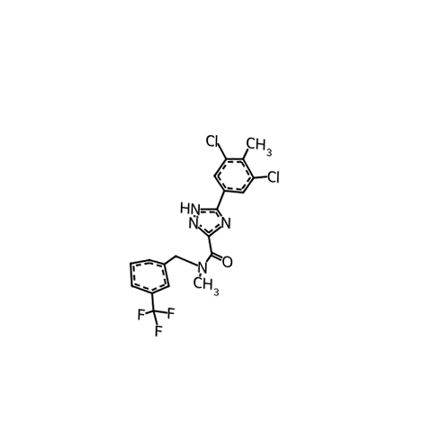 Cc1c(Cl)cc(-c2nc(C(=O)N(C)Cc3cccc(C(F)(F)F)c3)n[nH]2)cc1Cl